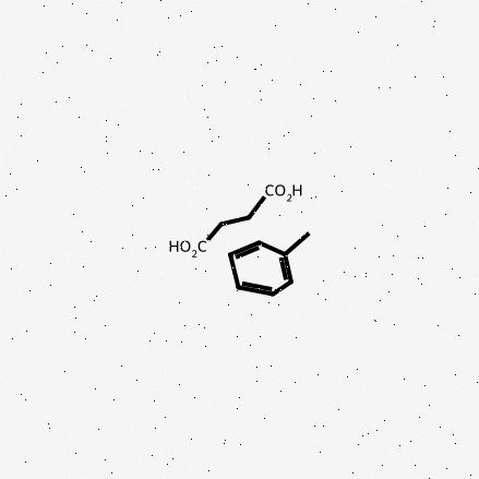 Cc1ccccc1.O=C(O)CCC(=O)O